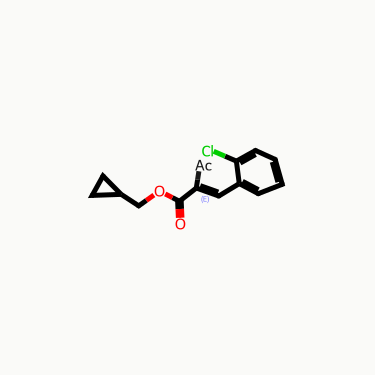 CC(=O)/C(=C\c1ccccc1Cl)C(=O)OCC1CC1